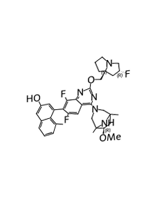 CO[C@@H]1CC2(C)CN(c3nc(OC[C@@]45CCCN4C[C@H](F)C5)nc4c(F)c(-c5cc(O)cc6cccc(C)c56)c(F)cc34)CC1(C)N2